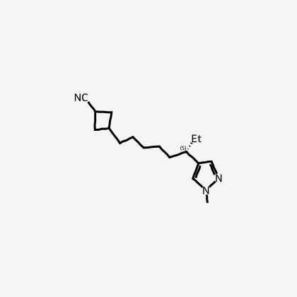 CC[C@@H](CCCCCC1CC(C#N)C1)c1cnn(C)c1